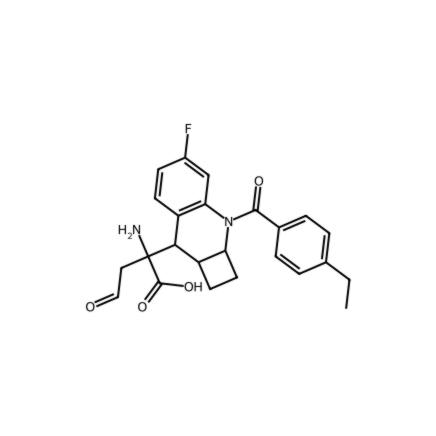 CCc1ccc(C(=O)N2c3cc(F)ccc3C(C(N)(CC=O)C(=O)O)C3CCC32)cc1